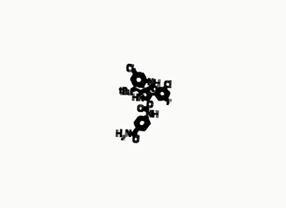 CC(C)(C)C[C@@H]1N[C@H](OC(=O)Nc2ccc(C(N)=O)cc2)[C@H](c2cc(F)cc(Cl)c2)[C@]12C(=O)Nc1cc(Cl)ccc12